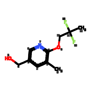 Cc1cc(CO)cnc1OCC(C)(F)F